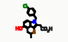 CC1Cc2c(O)ccc3c2c(c(CC(=O)O)n3Cc2ccc(Cl)cc2)S1